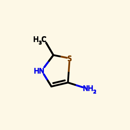 CC1NC=C(N)S1